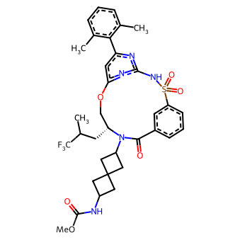 COC(=O)NC1CC2(C1)CC(N1C(=O)c3cccc(c3)S(=O)(=O)Nc3nc(cc(-c4c(C)cccc4C)n3)OC[C@H]1CC(C)C(F)(F)F)C2